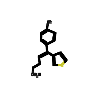 CC(C)c1ccc(C(=CCCC(=O)O)c2ccsc2)cc1